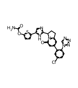 NC(=O)Oc1ccc(-c2cnc(C3CCc4cc(-c5cc(Cl)ccc5-n5cnnn5)cc(=O)n43)[nH]2)s1